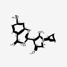 NC1=C(c2nc3cc(Br)ccc3c(=O)[nH]2)C(=O)CN1C1CC1